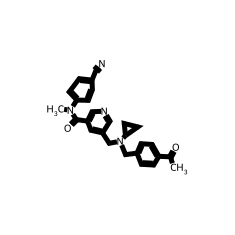 CC(=O)c1ccc(CN(Cc2cncc(C(=O)N(C)c3ccc(C#N)cc3)c2)C2CC2)cc1